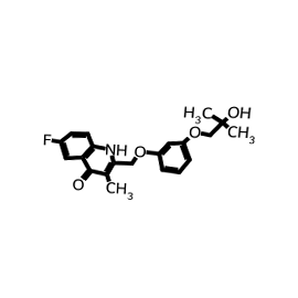 Cc1c(COc2cccc(OCC(C)(C)O)c2)[nH]c2ccc(F)cc2c1=O